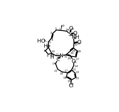 C[C@@H]1C/C=C/[C@@H](O)[C@@H]2CC[C@H]2CN2CCCCc3cc(Cl)ccc3COc3ccc(cc32)C(=O)NS(=O)(=O)C1